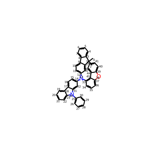 CC1(C)c2ccccc2-c2ccc(N(c3ccc4c5ccccc5n(-c5ccccc5)c4c3)c3cccc4oc5ccccc5c34)cc21